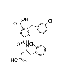 O=C(O)C[C@@H](Cc1ccccc1Cl)NC(=O)c1cc(C(=O)O)n(Cc2cccc(Cl)c2)n1